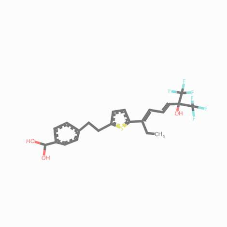 CCC(=CC=CC(O)(C(F)(F)F)C(F)(F)F)c1ccc(CCc2ccc(C(O)O)cc2)s1